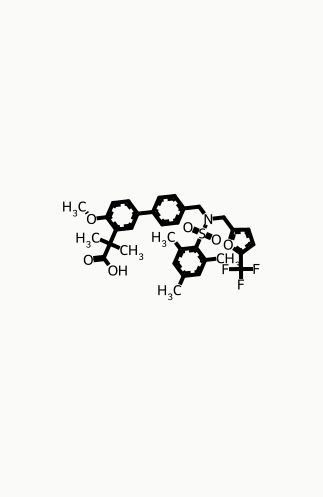 COc1ccc(-c2ccc(CN(Cc3ccc(C(F)(F)F)o3)S(=O)(=O)c3c(C)cc(C)cc3C)cc2)cc1C(C)(C)C(=O)O